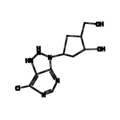 OCC1CC(N2NNc3c(Cl)ncnc32)CC1O